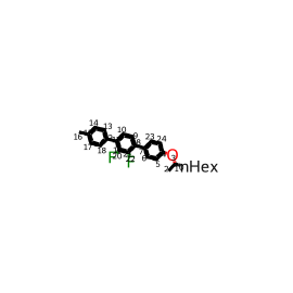 CCCCCCC(C)Oc1ccc(-c2ccc(-c3ccc(C)cc3)c(F)c2F)cc1